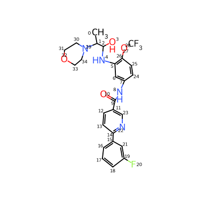 CC(C(O)Nc1cc(NC(=O)c2ccc(-c3cccc(F)c3)nc2)ccc1OC(F)(F)F)N1CCOCC1